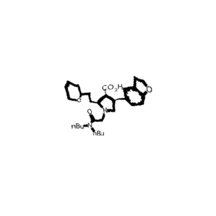 CCCCN(CCCC)C(=O)CN1C[C@H](c2ccc3c(c2)CCO3)[C@@H](C(=O)O)[C@@H]1CCC1CCCCO1